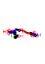 C[C@H](CN1CCC(OCCOCCOCCOc2ccc3c(c2)C(=O)N(C2CCC(=O)NC2=O)C3=O)CC1)Oc1nc(N2CCN(C(=O)C(O)O)CC2)c2cc(Cl)c(-c3cc(O)cc4ccccc34)c(F)c2n1